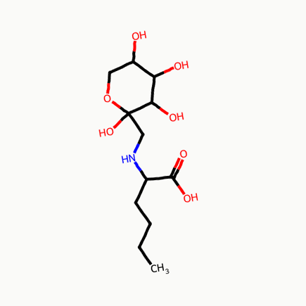 CCCCC(NCC1(O)OCC(O)C(O)C1O)C(=O)O